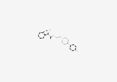 Cn1nc2ccccc2c1C(=O)NCCN1CCC(c2ccc(F)cc2)CC1